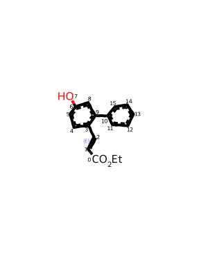 CCOC(=O)/C=C/c1ccc(O)cc1-c1ccccc1